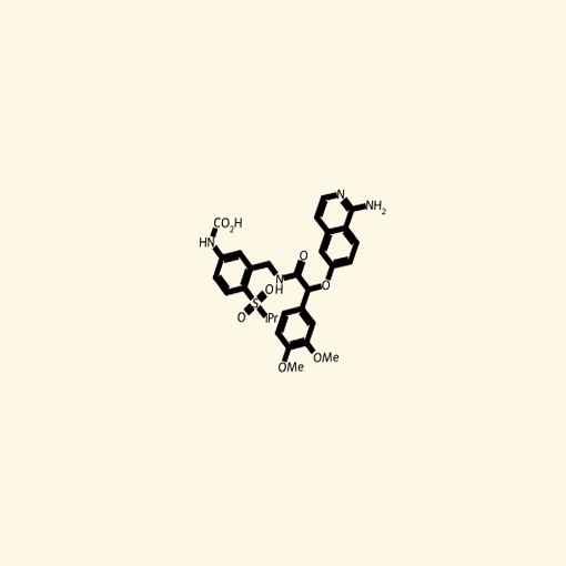 COc1ccc(C(Oc2ccc3c(N)nccc3c2)C(=O)NCc2cc(NC(=O)O)ccc2S(=O)(=O)C(C)C)cc1OC